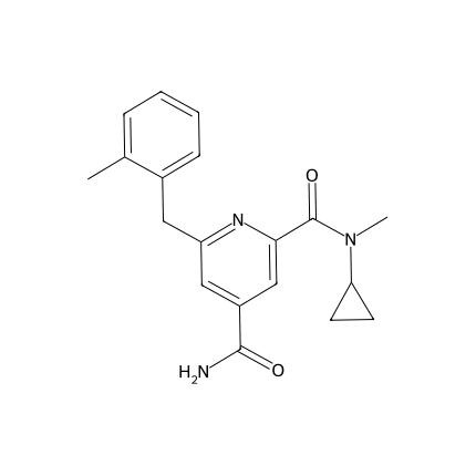 Cc1ccccc1Cc1cc(C(N)=O)cc(C(=O)N(C)C2CC2)n1